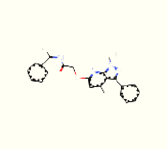 Cc1cc(OCC(=O)NC(C)c2ccccc2)nc2c1c(-c1ccccc1)nn2C